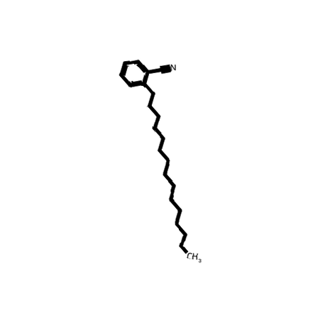 CCCCCCCCCCCCCCCc1ccccc1C#N